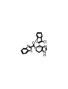 O=C(c1nc2ccccc2s1)N1CCc2[nH]cnc2[C@H]1c1oc2ccccc2c1Cl